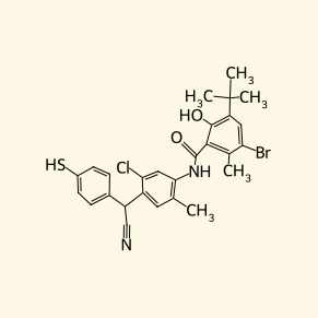 Cc1cc(C(C#N)c2ccc(S)cc2)c(Cl)cc1NC(=O)c1c(C)c(Br)cc(C(C)(C)C)c1O